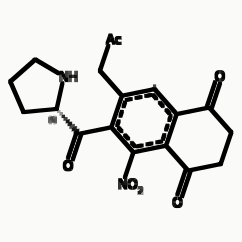 CC(=O)Cc1[c]c2c(c([N+](=O)[O-])c1C(=O)[C@@H]1CCCN1)C(=O)CCC2=O